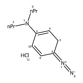 CCCN(CCC)C1=CCC(=[N+]=[N-])C=C1.Cl